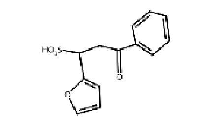 O=C(CC(c1ccco1)S(=O)(=O)O)c1ccccc1